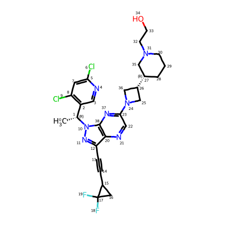 C[C@H](c1cnc(Cl)cc1Cl)n1nc(C#CC2CC2(F)F)c2ncc(N3CC([C@H]4CCCN(CCO)C4)C3)nc21